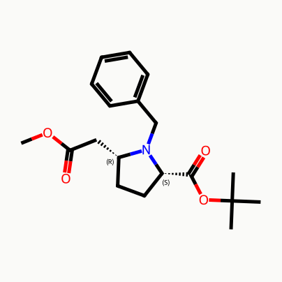 COC(=O)C[C@H]1CC[C@@H](C(=O)OC(C)(C)C)N1Cc1ccccc1